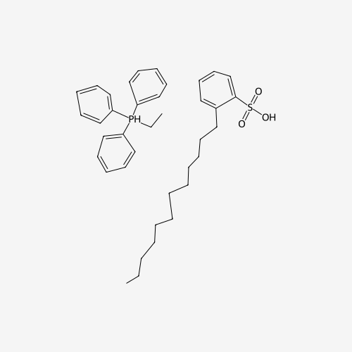 CCCCCCCCCCCCc1ccccc1S(=O)(=O)O.CC[PH](c1ccccc1)(c1ccccc1)c1ccccc1